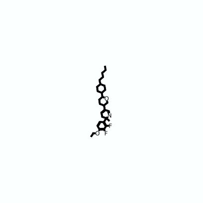 CCCCCC1CCC(C2CCC(C3=CCC(C)(c4ccc(OCC)c(F)c4F)N=C3)CO2)CC1